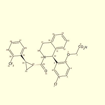 O=C(O)COc1ccc(Cl)cc1[C@@H]1c2ccccc2CCN1C(=O)[C@@H]1C[C@H]1c1ccccc1C(F)(F)F